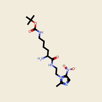 Cc1ncc([N+](=O)[O-])n1CCNC(=O)C(N)CCCCNC(=O)OC(C)(C)C